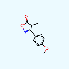 COc1ccc(C2=NOC(=O)C2C)cc1